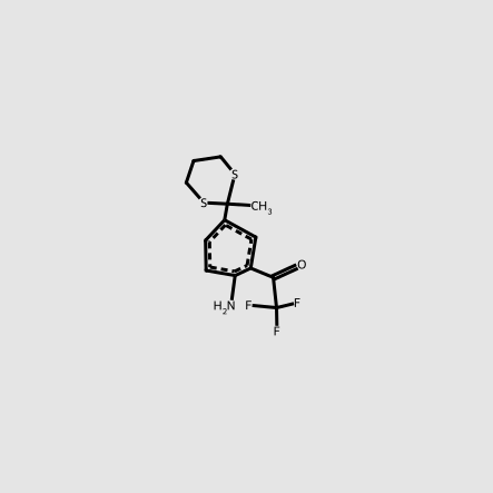 CC1(c2ccc(N)c(C(=O)C(F)(F)F)c2)SCCCS1